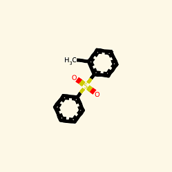 Cc1c[c]ccc1S(=O)(=O)c1ccccc1